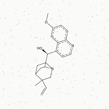 C=CC1(C)CN2CCC1CC2[C@@H](O)c1ccnc2ccc(OC)cc12